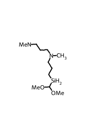 CNCCCN(C)CCC[SiH2]C(OC)OC